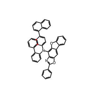 c1ccc(-c2nc3c(N(c4ccc(-c5cccc6ccccc56)cc4)c4ccccc4-c4ccccc4)c4oc5ccccc5c4cc3o2)cc1